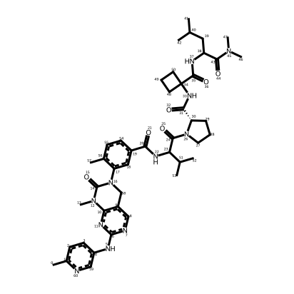 Cc1ccc(Nc2ncc3c(n2)N(C)C(=O)N(c2cc(C(=O)NC(C(=O)N4CCC[C@H]4C(=O)NC4(C(=O)NC(CC(C)C)C(=O)N(C)C)CCC4)C(C)C)ccc2C)C3)cn1